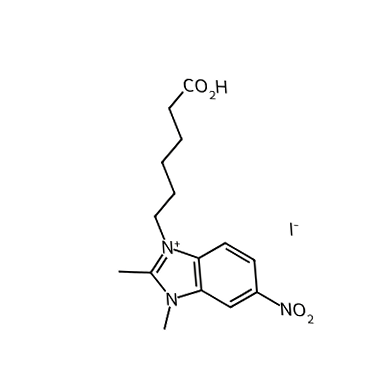 Cc1n(C)c2cc([N+](=O)[O-])ccc2[n+]1CCCCCC(=O)O.[I-]